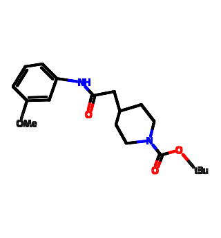 COc1cccc(NC(=O)CC2CCN(C(=O)OC(C)(C)C)CC2)c1